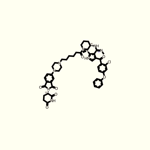 C=Nc1[nH]cc(C(=O)c2ccc(Oc3ccccc3)cc2Cl)c1/C(=N\C)N[C@@H]1CCCN(C(=O)CCCCCN2CCN(c3ccc4c(c3)C(=O)N([C@H]3CCC(=O)NC3=O)C4=O)CC2)C1